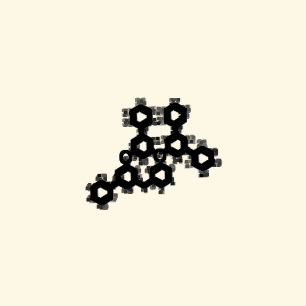 c1ccc(Cc2cc(Oc3cc(Oc4cc(-c5ccccc5)cc(-c5ccccc5)c4)cc(-c4ccccc4)c3)cc(-c3ccccc3)c2)cc1